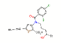 CCC(O)CCCN(C(=O)c1ccc(Cl)cc1F)c1cc(C#CC(C)(C)C)sc1C(=O)O